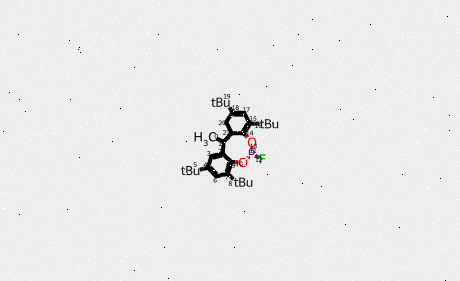 CC1c2cc(C(C)(C)C)cc(C(C)(C)C)c2OP(F)OC2=C(C(C)(C)C)C=C(C(C)(C)C)CC21